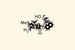 CSc1nc(N)nc2c1nc(I)n2[C@@H]1O[C@H](COc2ccc3ccccc3c2O/[P+]([O-])=N/C(C)C(=O)O)[C@@H](O)[C@@]1(C)O